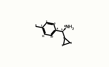 Cc1ccc([C@@H](N)C2CC2)cc1